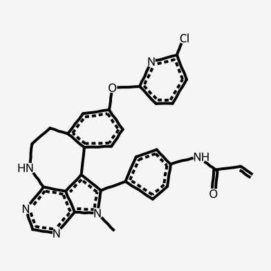 C=CC(=O)Nc1ccc(-c2c3c4c(ncnc4n2C)NCCc2cc(Oc4cccc(Cl)n4)ccc2-3)cc1